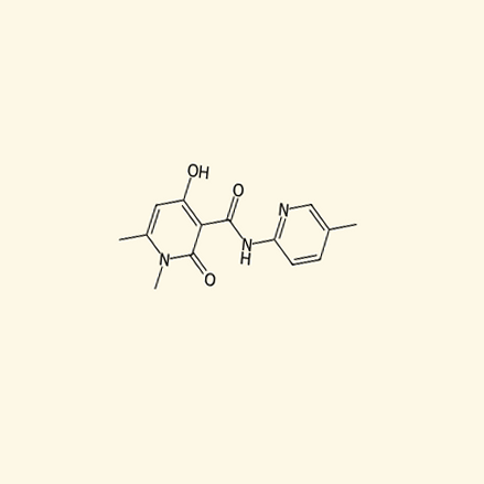 Cc1ccc(NC(=O)c2c(O)cc(C)n(C)c2=O)nc1